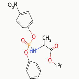 CC(C)OC(=O)C(C)N[P@](=O)(Oc1ccccc1)Oc1ccc([N+](=O)[O-])cc1